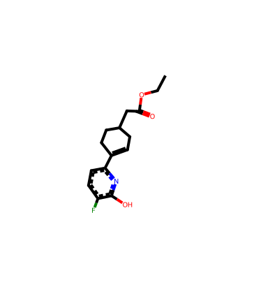 CCOC(=O)CC1CC=C(c2ccc(F)c(O)n2)CC1